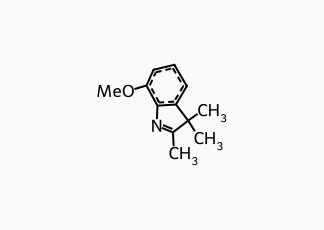 COc1cccc2c1N=C(C)C2(C)C